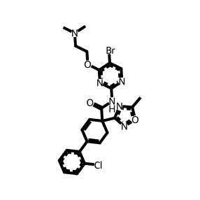 Cc1nc(C2(C(=O)Nc3ncc(Br)c(OCCN(C)C)n3)C=CC(c3ccccc3Cl)=CC2)no1